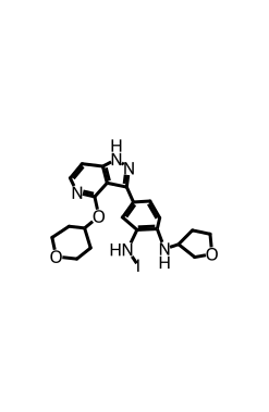 INc1cc(-c2n[nH]c3ccnc(OC4CCOCC4)c23)ccc1NC1CCOC1